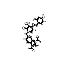 CC(=O)n1c(=O)n(C(C)=O)c2cc(Cn3ccc(OCc4ccc(F)cc4F)c(Cl)c3=O)ccc21